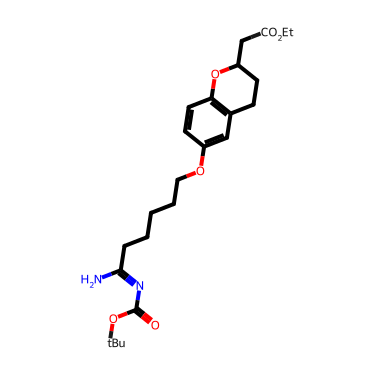 CCOC(=O)CC1CCc2cc(OCCCCCC(N)=NC(=O)OC(C)(C)C)ccc2O1